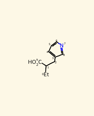 CCC(Cc1cccnc1)C(=O)O